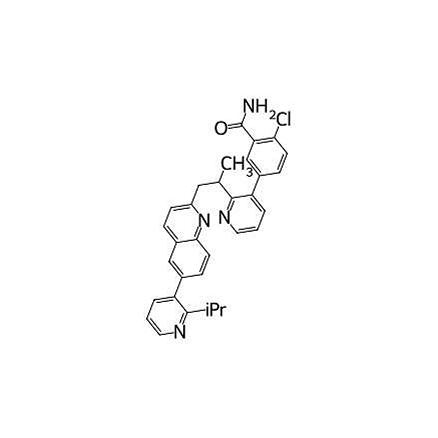 CC(C)c1ncccc1-c1ccc2nc(CC(C)c3ncccc3-c3ccc(Cl)c(C(N)=O)c3)ccc2c1